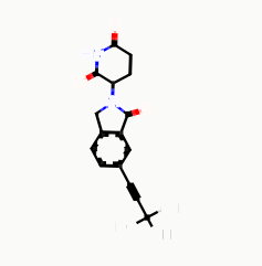 CC(C)(C)C#Cc1ccc2c(c1)C(=O)N(C1CCC(=O)NC1=O)C2